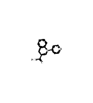 NC(=O)C1=CN(c2ccncc2)c2ccccc2C1